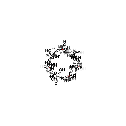 OCC1O[C@@H]2O[C@@H]3C(CO)O[C@H](O[C@@H]4C(CO)O[C@H](O[C@@H]5C(CO)O[C@H](O[C@@H]6C(CO)O[C@@H](O[C@@H]7C(CO)O[C@@H](O[C@@H]8C(CO)OC(O[C@H]1C(O)[C@@H]2O)C(O)[C@H]8O)[C@@H](O)C7O)C(O)[C@H]6O)C(O)[C@H]5O)C(O)[C@H]4O)[C@@H](O)C3O